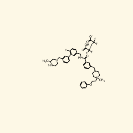 C[C@H]1CN(Cc2cccc(-c3cc(CNC(=O)c4cccc(CN5CC[N+](C)(CCOc6ccccc6)CC5)c4)ccc3F)c2)CCN1.O=C(O)C(F)(F)F.O=C([O-])C(F)(F)F